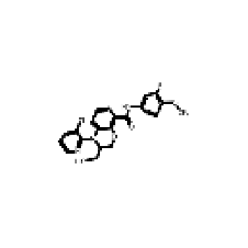 O=C(Nc1ccc(OC(F)(F)F)c(F)c1)c1cccc2c1OCC(CO)N2c1ncccc1Cl